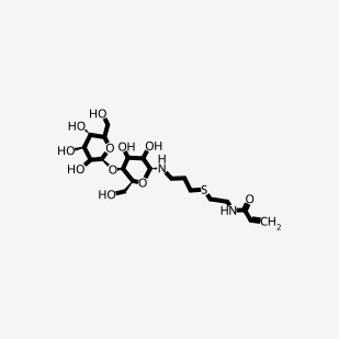 C=CC(=O)NCCSCCCN[C@@H]1O[C@@H](CO)[C@@H](O[C@@H]2OC(CO)[C@@H](O)[C@H](O)C2O)C(O)C1O